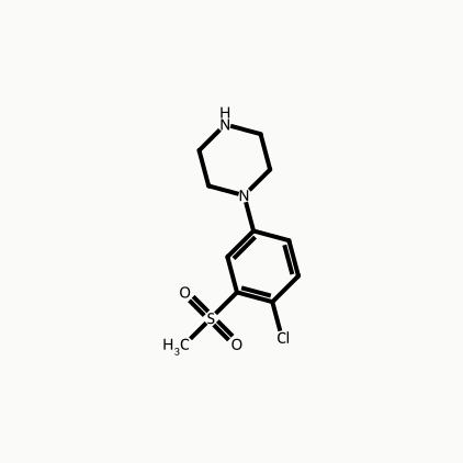 CS(=O)(=O)c1cc(N2CCNCC2)ccc1Cl